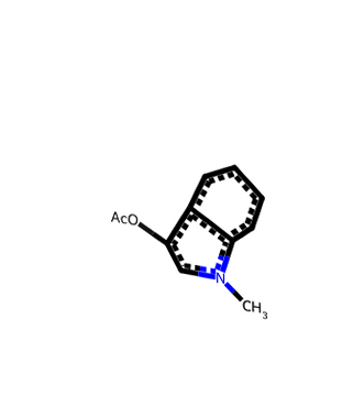 CC(=O)Oc1cn(C)c2ccccc12